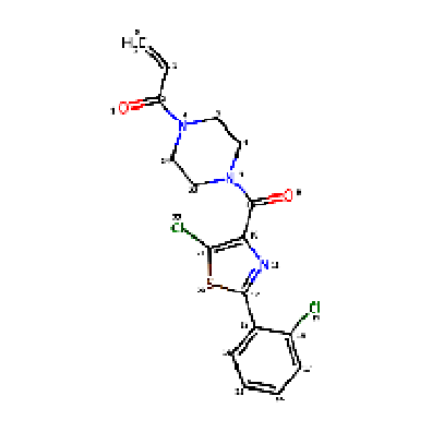 C=CC(=O)N1CCN(C(=O)c2nc(-c3ccccc3Cl)sc2Cl)CC1